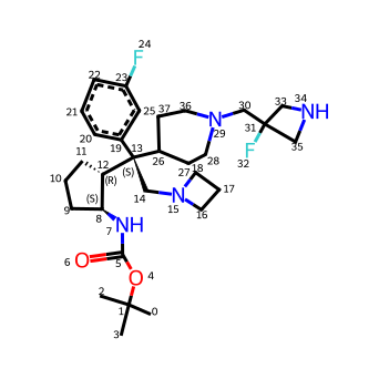 CC(C)(C)OC(=O)N[C@H]1CCC[C@@H]1[C@](CN1CCC1)(c1cccc(F)c1)C1CCN(CC2(F)CNC2)CC1